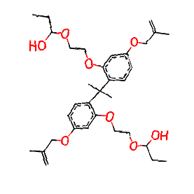 C=C(C)COc1ccc(C(C)(C)c2ccc(OCC(=C)C)cc2OCCOC(O)CC)c(OCCOC(O)CC)c1